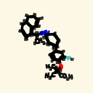 C[C@@H](N[C@H]1CC[C@@H](c2ccc(OC(C)(C)C(=O)O)c(F)c2)C1)C1=C2C=CCCC2CC=C1